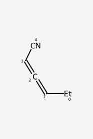 CCC=C=CC#N